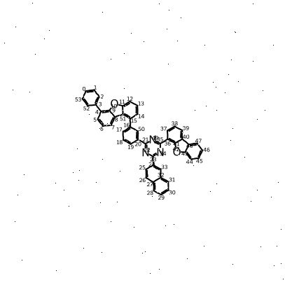 c1ccc(-c2cccc3c2oc2cccc(-c4cccc(-c5nc(-c6ccc7ccccc7c6)nc(-c6cccc7c6oc6ccccc67)n5)c4)c23)cc1